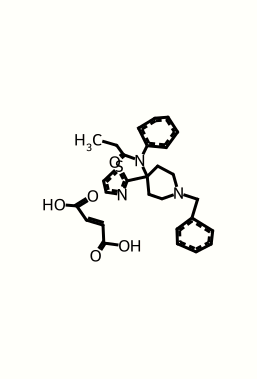 CCC(=O)N(c1ccccc1)C1(c2nccs2)CCN(Cc2ccccc2)CC1.O=C(O)C=CC(=O)O